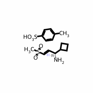 CS(=O)(=O)/C=C/[C@@H](N)C1CCC1.Cc1ccc(S(=O)(=O)O)cc1